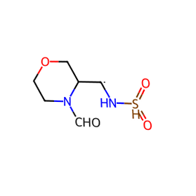 O=CN1CCOCC1[CH]N[SH](=O)=O